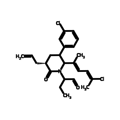 C=CC[C@@H]1CC(c2cccc(Cl)c2)C(/C(C)=C/C=C(\C)Cl)N(C(C=O)CC)C1=O